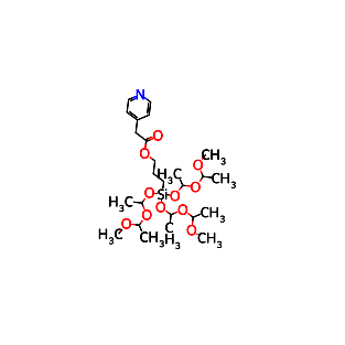 COC(C)OC(C)O[Si](CCCOC(=O)Cc1ccncc1)(OC(C)OC(C)OC)OC(C)OC(C)OC